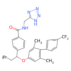 Cc1cc(OC(CC(C)C)c2ccc(C(=O)NCc3nnn[nH]3)cc2)cc(C)c1-c1ccc(C(F)(F)F)cc1